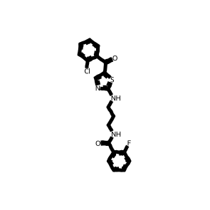 O=C(NCCCNc1ncc(C(=O)c2ccccc2Cl)s1)c1ccccc1F